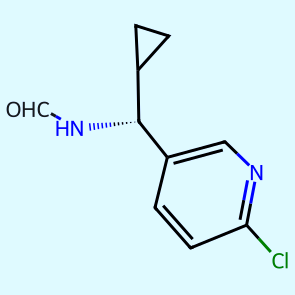 O=CN[C@@H](c1ccc(Cl)nc1)C1CC1